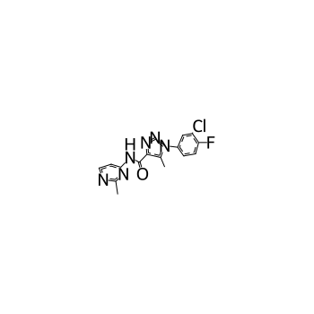 Cc1nccc(NC(=O)c2nnn(-c3ccc(F)c(Cl)c3)c2C)n1